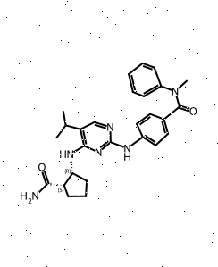 CC(C)c1cnc(Nc2ccc(C(=O)N(C)c3ccccc3)cc2)nc1N[C@@H]1CCC[C@@H]1C(N)=O